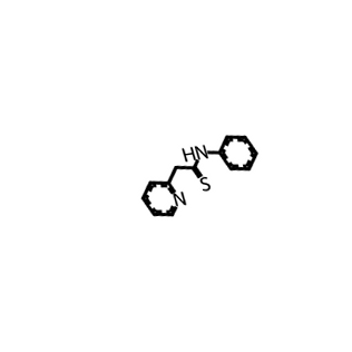 S=C(Cc1ccccn1)Nc1ccccc1